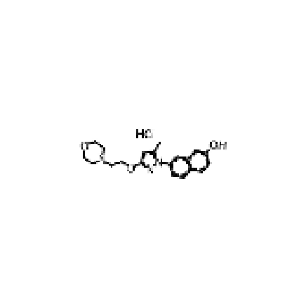 Cc1cc(OCCN2CCOCC2)nn1-c1ccc2ccc(O)cc2c1.Cl